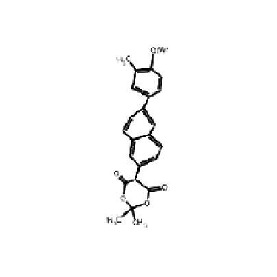 COc1ccc(-c2ccc3cc(C4C(=O)OC(C)(C)OC4=O)ccc3c2)cc1C